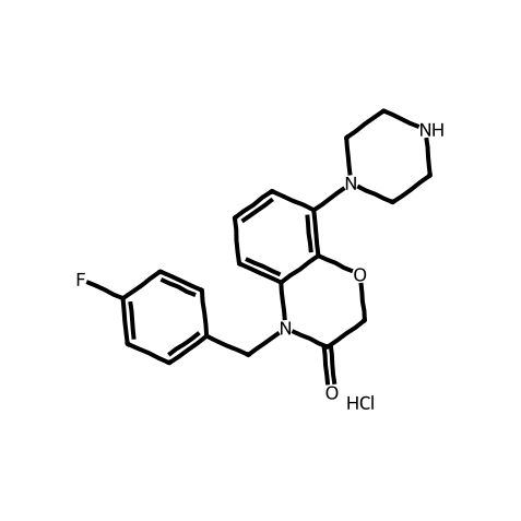 Cl.O=C1COc2c(N3CCNCC3)cccc2N1Cc1ccc(F)cc1